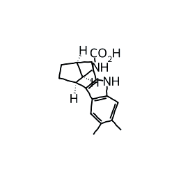 Cc1cc2[nH]c3c(c2cc1C)[C@H]1CC[C@@H](C3)[C@H]1NC(=O)O